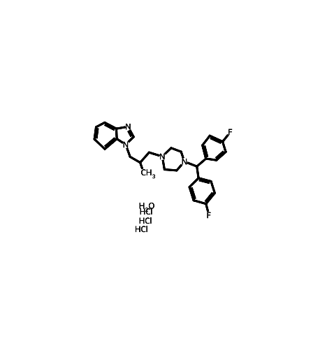 CC(CN1CCN(C(c2ccc(F)cc2)c2ccc(F)cc2)CC1)Cn1cnc2ccccc21.Cl.Cl.Cl.O